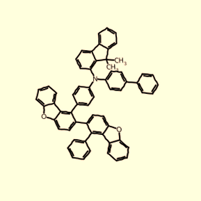 CC1(C)c2ccccc2-c2cccc(N(c3ccc(-c4ccccc4)cc3)c3ccc(-c4c(-c5ccc6oc7ccccc7c6c5-c5ccccc5)ccc5oc6ccccc6c45)cc3)c21